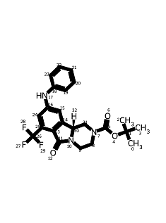 CC(C)(C)OC(=O)N1CCN2C(=O)c3c(cc(Nc4ccccc4)cc3C(F)(F)F)[C@@H]2C1